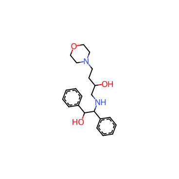 OC(CCN1CCOCC1)CNC(c1ccccc1)C(O)c1ccccc1